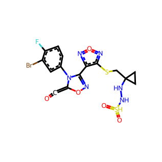 O=C=C1ON=C(c2nonc2SCC2(NN[SH](=O)=O)CC2)N1c1ccc(F)c(Br)c1